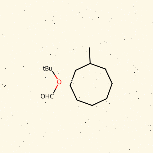 CC(C)(C)OC=O.CC1CCCCCCC1